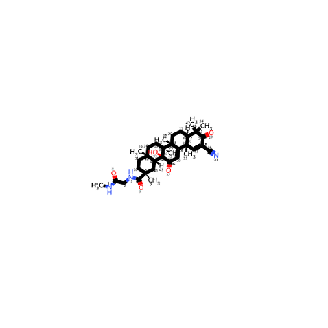 CNC(=O)CNC(=O)[C@@]1(C)CC[C@]2(C)CC[C@@]3(C)[C@]4(C)CC[C@H]5C(C)(C)C(=O)C(C#N)=C[C@]5(C)C4=CC(=O)[C@]3(O)[C@@H]2C1